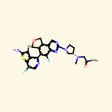 CNC(=O)CN(C)[C@H]1CCN(c2ncc3c4c(c(-c5ncc(F)c6sc(N)c(C#N)c56)c(F)c3n2)COC4)C1